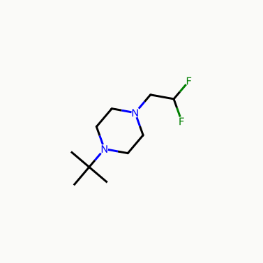 CC(C)(C)N1CCN(CC(F)F)CC1